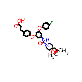 CC(C)CC1(O)CCN(C(=O)Nc2cc(Oc3ccc(F)cc3)cc(Oc3ccc(CCC(=O)O)cc3)c2)CC1